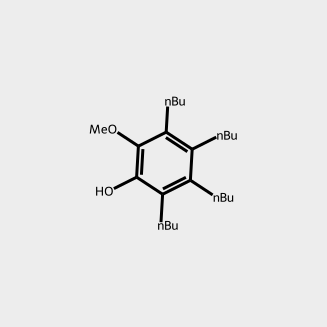 CCCCc1c(O)c(OC)c(CCCC)c(CCCC)c1CCCC